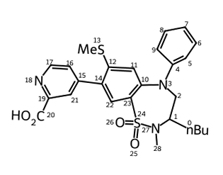 CCCCC1CN(c2ccccc2)c2cc(SC)c(-c3ccnc(C(=O)O)c3)cc2S(=O)(=O)N1C